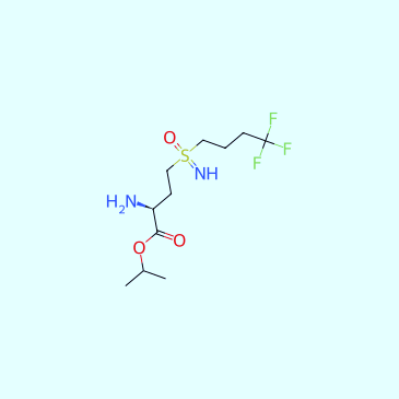 CC(C)OC(=O)[C@@H](N)CCS(=N)(=O)CCCC(F)(F)F